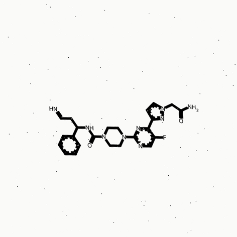 N=CCC(NC(=O)N1CCN(c2ncc(F)c(-c3ccn(CC(N)=O)n3)n2)CC1)c1ccccc1